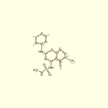 CNS(=O)(=O)Nc1nc(Nc2cnccn2)cc2ccn(C)c(=O)c12